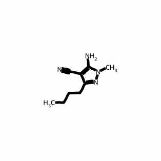 CCCCc1nn(C)c(N)c1C#N